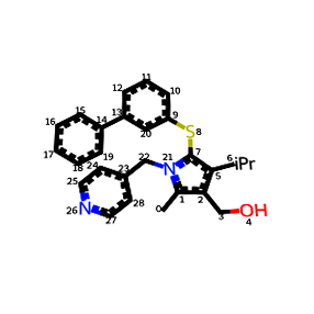 Cc1c(CO)c(C(C)C)c(Sc2cccc(-c3ccccc3)c2)n1Cc1ccncc1